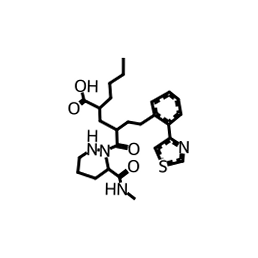 CCCCC(CC(CCc1ccccc1-c1cscn1)C(=O)N1NCCCC1C(=O)NC)C(=O)O